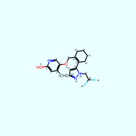 O=Cc1cc(O)ncc1OCC1=C(c2ccnn2CC(F)F)CCCC1